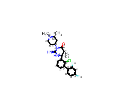 C[C@H]1C[C@@H](N2C(=N)N[C@](C)(c3cccc(-c4ccc(F)cc4F)c3Cl)CC2=O)CCN1C